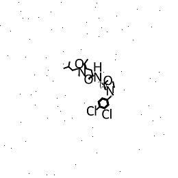 Cc1oc(CC(C)C)nc1CC(=O)NC[C@H]1CN(Cc2ccc(Cl)c(Cl)c2)CCO1